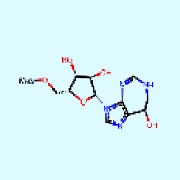 CSOC[C@H]1O[C@@H](n2cnc3c2N=CNC[C@H]3O)[C@H](O)[C@@H]1O